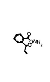 C=CC(=O)c1ccccc1C(=O)ON